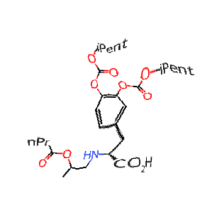 CCCC(=O)OC(C)CN[C@@H](Cc1ccc(OC(=O)OC(C)CCC)c(OC(=O)OC(C)CCC)c1)C(=O)O